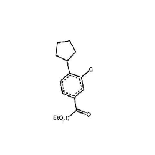 CCOC(=O)C(=O)c1ccc(C2CCCC2)c(Cl)c1